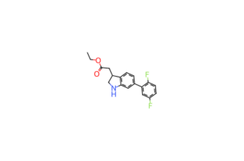 CCOC(=O)CC1CNc2cc(-c3cc(F)ccc3F)ccc21